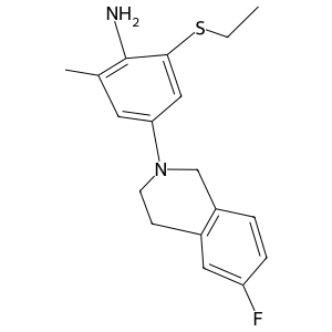 CCSc1cc(N2CCc3cc(F)ccc3C2)cc(C)c1N